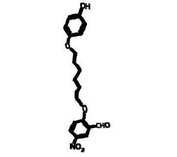 O=Cc1cc([N+](=O)[O-])ccc1OCCCCCCOc1ccc(O)cc1